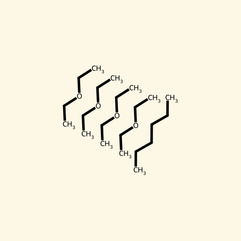 CCCCCC.CCOCC.CCOCC.CCOCC.CCOCC